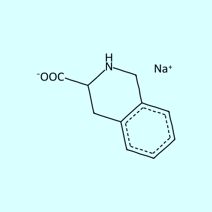 O=C([O-])C1Cc2ccccc2CN1.[Na+]